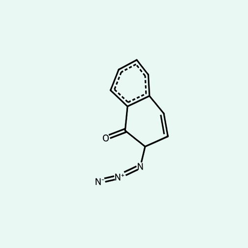 [N-]=[N+]=NC1C=Cc2ccccc2C1=O